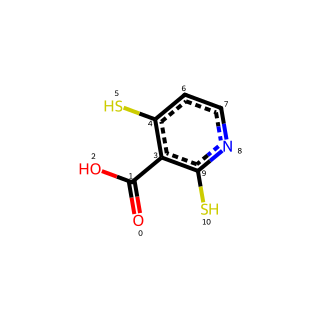 O=C(O)c1c(S)ccnc1S